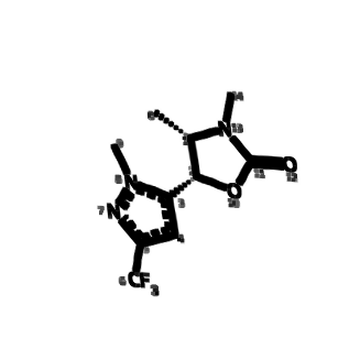 C[C@H]1[C@@H](c2cc(C(F)(F)F)nn2C)OC(=O)N1C